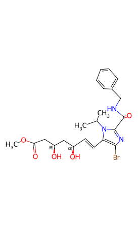 COC(=O)C[C@H](O)C[C@H](O)C=Cc1c(Br)nc(C(=O)NCc2ccccc2)n1C(C)C